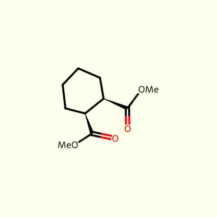 COC(=O)[C@H]1CCCC[C@H]1C(=O)OC